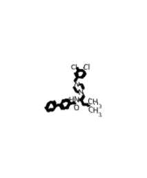 CC(C)CC(CN1CCN(Cc2ccc(Cl)c(Cl)c2)CC1)NC(=O)c1ccc(-c2ccccc2)cc1